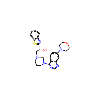 OC(CN1CCCN(c2ncnc3cc(N4CCOCC4)ccc23)C1)c1nc2ccccc2s1